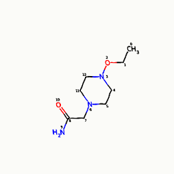 CCON1CCN(CC(N)=O)CC1